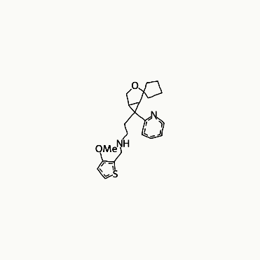 COc1ccsc1CNCCC1(c2ccccn2)C2COC3(CCCC3)C21